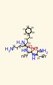 CCC[C@H](NC(=O)[C@@](N)(CCCCN)CCCc1ccccc1)C(=O)N[C@@H](CC(C)C)C(N)=O